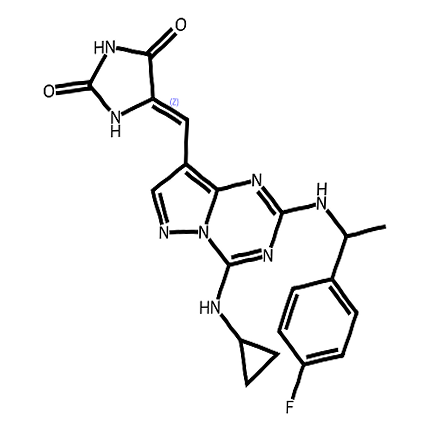 CC(Nc1nc(NC2CC2)n2ncc(/C=C3\NC(=O)NC3=O)c2n1)c1ccc(F)cc1